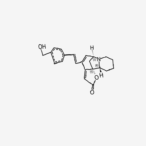 O=C1C=C2C(C=Cc3ccc(CO)cc3)=C[C@@H]3C[C@@]2(O1)[C@H]1CCCCN31